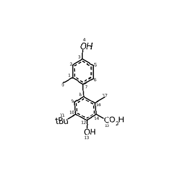 Cc1cc(O)ccc1-c1cc(C(C)(C)C)c(O)c(C(=O)O)c1C